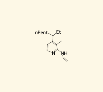 C=CNc1nccc(C(CC)CCCCC)c1C